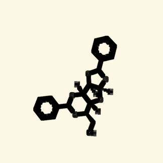 OC[C@H]1OC(c2ccccc2)O[C@@H]2[C@H]3OC(c4ccccc4)O[C@H]3O[C@@H]21